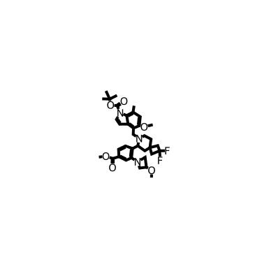 COC(=O)c1ccc(C2CC3(CCN2Cc2c(OC)cc(C)c4c2ccn4C(=O)OC(C)(C)C)CC(F)(F)C3)c(N2CC(OC)C2)c1